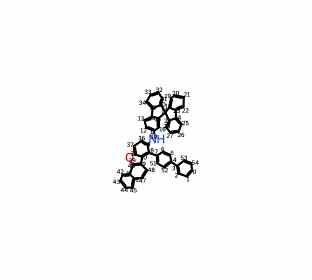 c1ccc(-c2ccc(-c3c(Nc4ccc5c(c4)C4(c6ccccc6-c6ccccc64)c4ccccc4-5)ccc4oc5c6ccccc6ccc5c34)cc2)cc1